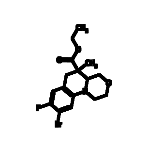 CCOC(=O)C1(C)Cc2cc(F)c(Br)cc2N2CCOCC21